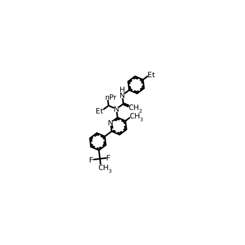 C=C(Nc1ccc(CC)cc1)N(c1nc(-c2cccc(C(C)(F)F)c2)ccc1C)C(CC)CCC